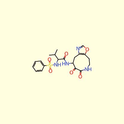 CC(C)C(NS(=O)(=O)c1ccccc1)C(=O)NC1Cc2ncoc2CCNC(=O)C1=O